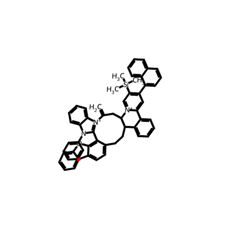 C=C1CC2C(CCc3ccc4c(oc5ccccc54)c3-c3n(-c4ccccc4)c4ccccc4[n+]31)c1ccccc1-c1cc(-c3cccc4ccccc34)c([Si](C)(C)C)c[n+]12